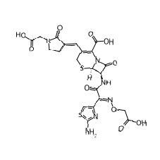 Nc1nc(C(=NOCC(=O)O)C(=O)N[C@@H]2C(=O)N3C(C(=O)O)=C(C=C4CCN(CC(=O)O)C4=O)CS[C@H]23)cs1